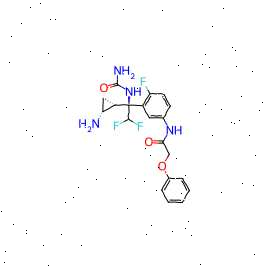 NC(=O)N[C@@](c1cc(NC(=O)COc2ccccc2)ccc1F)(C(F)F)[C@H]1C[C@H]1N